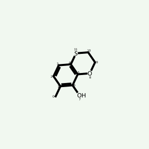 Cc1ccc2c(c1O)OCCS2